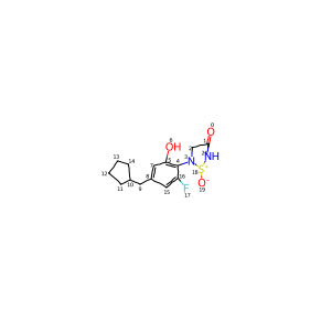 O=C1CN(c2c(O)cc(CC3CCCC3)cc2F)[S+]([O-])N1